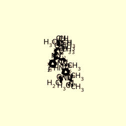 C=CC(=O)Nc1cc(Nc2nccc(-c3c(-c4ccc(F)cc4)nc(CCO[Si](C(C)C)(C(C)C)C(C)C)n3COC)n2)c(OC)cc1N(C)CCN(C)C